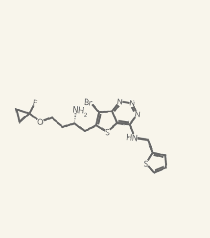 N[C@@H](CCOC1(F)CC1)Cc1sc2c(NCc3cccs3)nnnc2c1Br